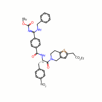 CCOC(=O)Cc1cc2c(s1)CCN(C(=O)[C@H](Cc1ccc([N+](=O)[O-])cc1)NC(=O)c1ccc(C(=NC(=O)OC(C)(C)C)NCc3ccccc3)cc1)C2